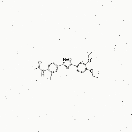 CCOc1ccc(-c2nc(-c3ccc(NC(C)=O)c(I)c3)no2)cc1OCC